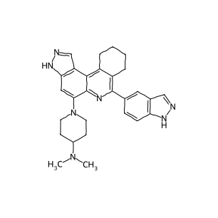 CN(C)C1CCN(c2cc3[nH]ncc3c3c4c(c(-c5ccc6[nH]ncc6c5)nc23)CCCC4)CC1